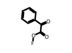 O=C(OF)C(=O)c1ccccc1